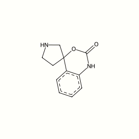 O=C1Nc2ccccc2C2(CCNC2)O1